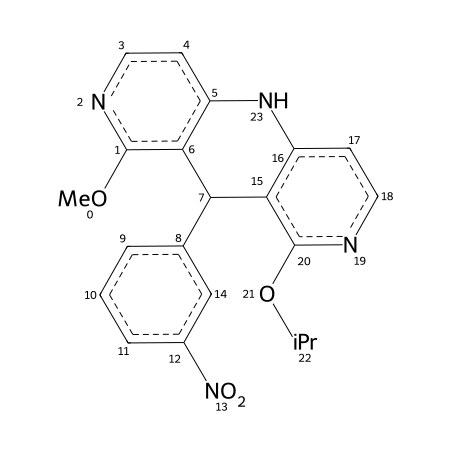 COc1nccc2c1C(c1cccc([N+](=O)[O-])c1)c1c(ccnc1OC(C)C)N2